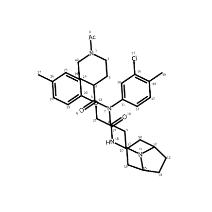 CC(=O)N1CCC(C(=O)N(CCCN2C3CCC2CC(NC(=O)COc2ccc(C)cc2)C3)c2ccc(C)c(Cl)c2)CC1